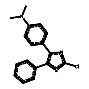 CN(C)c1ccc(-c2nc(Cl)sc2-c2ccccc2)cc1